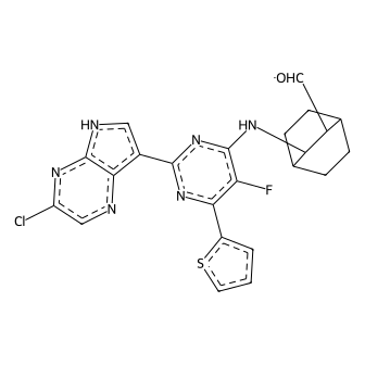 O=[C]C1C2CCC(CC2)C1Nc1nc(-c2c[nH]c3nc(Cl)cnc23)nc(-c2cccs2)c1F